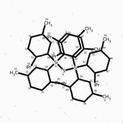 CC1CCC(C(C)C)C([Si](S[Si](C2CC(C)CCC2C(C)C)(C2CC(C)CCC2C(C)C)C2CC(C)CCC2C(C)C)(C2CC(C)CCC2C(C)C)C2CC(C)CCC2C(C)C)C1